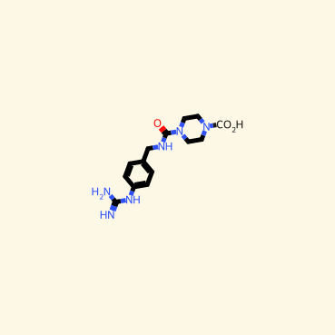 N=C(N)Nc1ccc(CNC(=O)N2CCN(C(=O)O)CC2)cc1